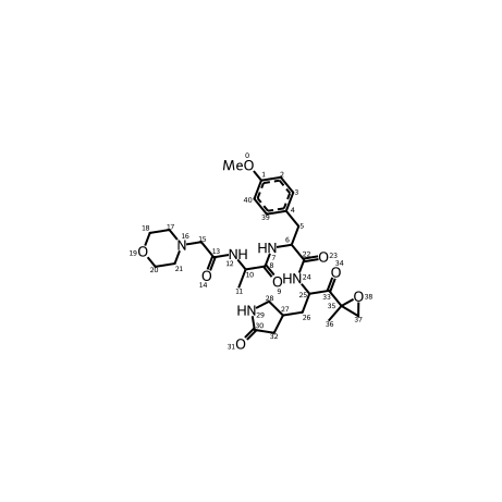 COc1ccc(CC(NC(=O)C(C)NC(=O)CN2CCOCC2)C(=O)NC(CC2CNC(=O)C2)C(=O)C2(C)CO2)cc1